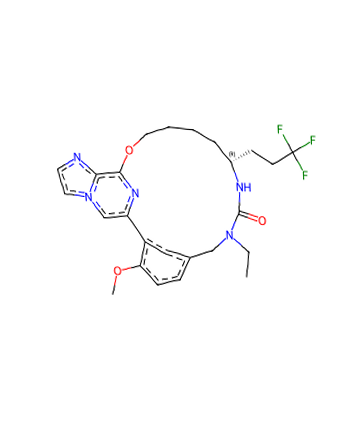 CCN1Cc2ccc(OC)c(c2)-c2cn3ccnc3c(n2)OCCCC[C@H](CCC(F)(F)F)NC1=O